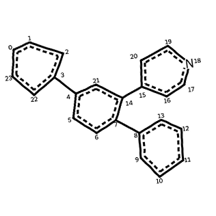 c1ccc(-c2ccc(-c3ccccc3)c(-c3ccncc3)c2)cc1